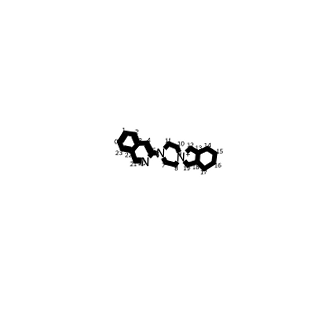 c1ccc2cc(N3CC[N+]4(CC3)CC3CCCCC3C4)ncc2c1